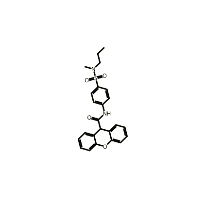 CCCN(C)S(=O)(=O)c1ccc(NC(=O)C2c3ccccc3Oc3ccccc32)cc1